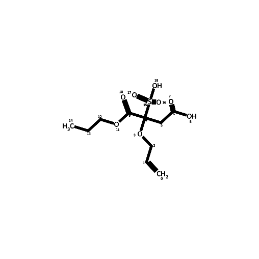 C=CCOC(CC(=O)O)(C(=O)OCCC)S(=O)(=O)O